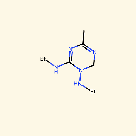 CCNC1=NC(C)=NCN1NCC